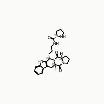 O=C(NCCC[C@H]1c2[nH]c3ccccc3c2C[C@H]2C(=O)N3CCC[C@H]3C(=O)N21)[C@@H]1CCCN1